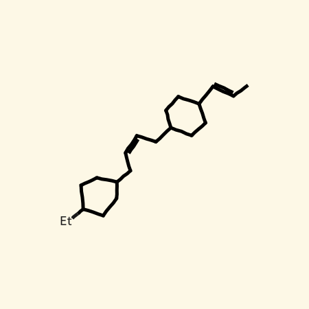 CC=CC1CCC(C/C=C\CC2CCC(CC)CC2)CC1